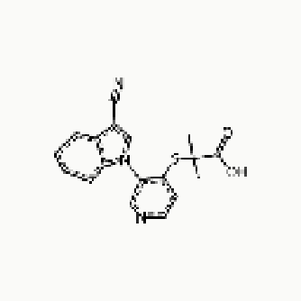 CC(C)(Sc1ccncc1-n1cc(C#N)c2ccccc21)C(=O)O